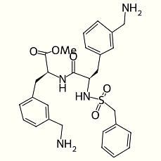 COC(=O)[C@H](Cc1cccc(CN)c1)NC(=O)[C@@H](Cc1cccc(CN)c1)NS(=O)(=O)Cc1ccccc1